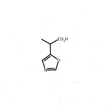 CC(C(=O)O)c1cnco1